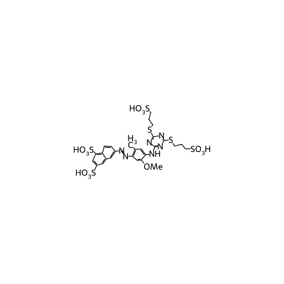 COc1cc(N=Nc2ccc3c(S(=O)(=O)O)cc(S(=O)(=O)O)cc3c2)c(C)cc1Nc1nc(SCCCS(=O)(=O)O)nc(SCCCS(=O)(=O)O)n1